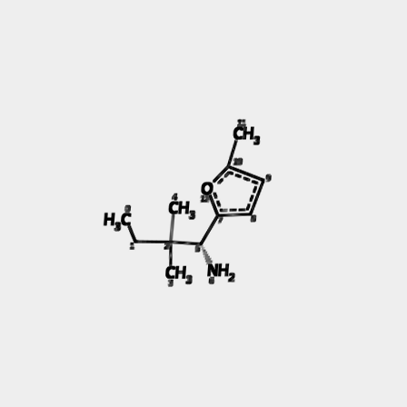 CCC(C)(C)[C@@H](N)c1ccc(C)o1